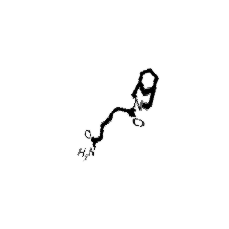 NC(=O)CCCCC(=O)N1CC2CCCC(C2)C1